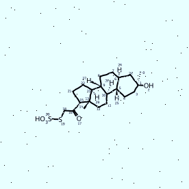 C[C@]1(O)CC[C@H]2[C@@H](CC[C@@H]3[C@@H]2CC[C@]2(C)[C@@H](C(=O)CSS(=O)(=O)O)CC[C@@H]32)C1